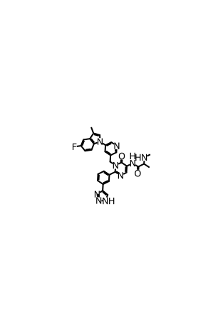 CNC(C)C(=O)Nc1cnc(-c2cccc(-c3c[nH]nn3)c2)n(Cc2cncc(-n3cc(C)c4cc(F)ccc43)c2)c1=O